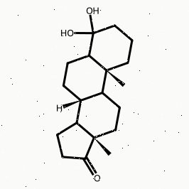 C[C@]12CCCC(O)(O)C1CC[C@@H]1C2CC[C@]2(C)C(=O)CCC12